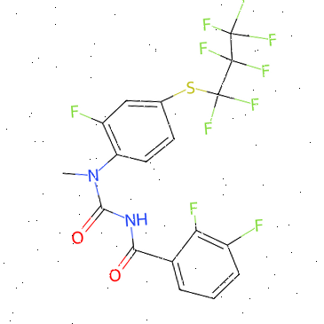 CN(C(=O)NC(=O)c1cccc(F)c1F)c1ccc(SC(F)(F)C(F)(F)C(F)(F)F)cc1F